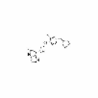 Cc1cc(NCCOc2ccc(Cc3ccccc3)cc2C)n2ncnc2n1